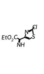 CCOC(=O)C(=N)c1csc(Cl)n1